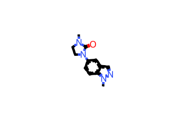 CN1CCN(c2ccc3c(cnn3C)c2)C1=O